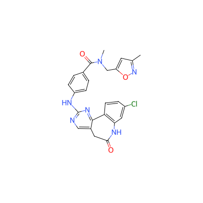 Cc1cc(CN(C)C(=O)c2ccc(Nc3ncc4c(n3)-c3ccc(Cl)cc3NC(=O)C4)cc2)on1